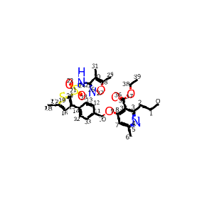 CCCc1nc(C)cc(OCc2ccc(-c3cc(C)sc3S(=O)(=O)Nc3noc(C)c3C)cc2)c1C(=O)OCC